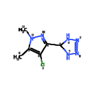 Cc1c(Cl)c(C2NN=NN2)nn1C